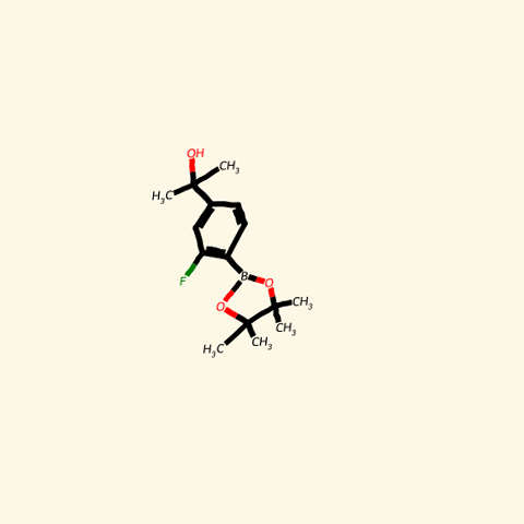 CC(C)(O)c1ccc(B2OC(C)(C)C(C)(C)O2)c(F)c1